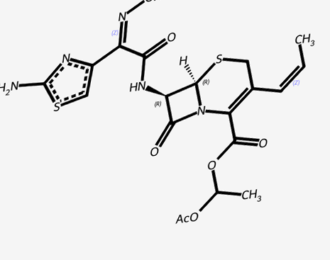 C/C=C\C1=C(C(=O)OC(C)OC(C)=O)N2C(=O)[C@@H](NC(=O)/C(=N\O)c3csc(N)n3)[C@H]2SC1